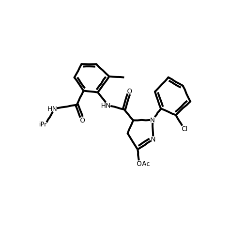 CC(=O)OC1=NN(c2ccccc2Cl)C(C(=O)Nc2c(C)cccc2C(=O)NC(C)C)C1